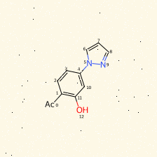 CC(=O)c1ccc(-n2cccn2)cc1O